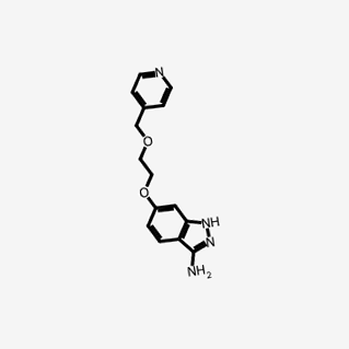 Nc1n[nH]c2cc(OCCOCc3ccncc3)ccc12